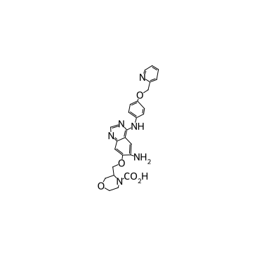 Nc1cc2c(Nc3ccc(OCc4ccccn4)cc3)ncnc2cc1OCC1COCCN1C(=O)O